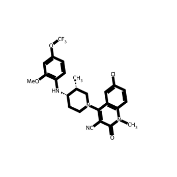 COc1cc(OC(F)(F)F)ccc1N[C@H]1CCN(c2c(C#N)c(=O)n(C)c3ccc(Cl)cc23)C[C@H]1C